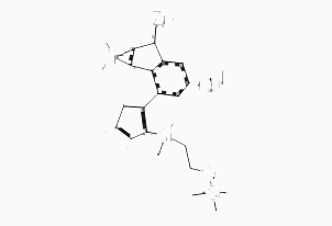 C[Si](C)(C)OCC[Si](C)(C)C1=C(c2cccc3c2C2=C([CH]3[Zr+2])[Si]2(C)C)CC=C1.[Cl-].[Cl-]